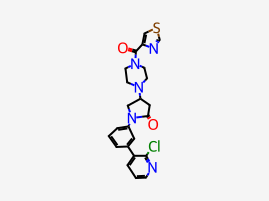 O=C(c1cscn1)N1CCN(C2CC(=O)N(c3cccc(-c4cccnc4Cl)c3)C2)CC1